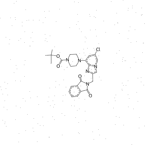 CC(C)(C)OC(=O)N1CCN(c2cc(Cl)cn3cc(CN4C(=O)c5ccccc5C4=O)nc23)CC1